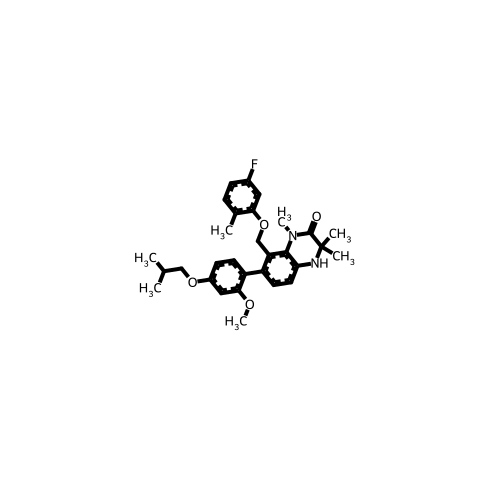 COc1cc(OCC(C)C)ccc1-c1ccc2c(c1COc1cc(F)ccc1C)N(C)C(=O)C(C)(C)N2